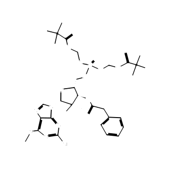 CNc1nc(N)nc2c1ncn2[C@@H]1O[C@H](COP(=O)(OCOC(=O)C(C)(C)C)OCOC(=O)C(C)(C)C)[C@@H](OC(=O)Cc2ccccc2)[C@@]1(C)F